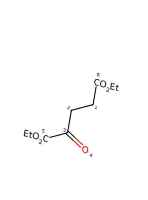 CCOC(=O)CCC(=O)C(=O)OCC